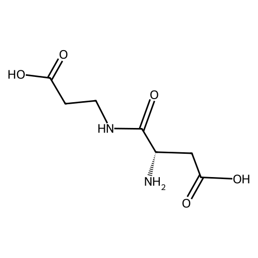 N[C@@H](CC(=O)O)C(=O)NCCC(=O)O